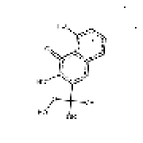 O=c1c(O)c(C(O)(O)OO)oc2cccc(O)c12